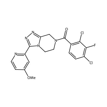 COc1ccnc(-c2nnc3n2CCN(C(=O)c2ccc(Cl)c(F)c2Cl)C3)c1